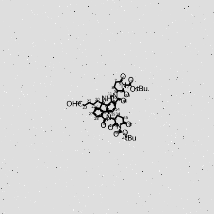 CC(C)(C)OC(=O)N1C(=O)CCC(N2Cc3c(cccc3C(N)(CCCCC=O)c3cccc4c3CN(C3CCC(=O)N(C(=O)OC(C)(C)C)C3=O)C4=O)C2=O)C1=O